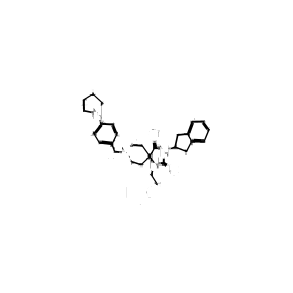 C=CCN1C(=O)N(C2Cc3ccccc3C2)C(=O)C12CCN(Cc1ccc(N3CCCC3)cc1)CC2